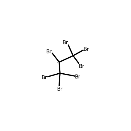 Br[C](C(Br)(Br)Br)C(Br)(Br)Br